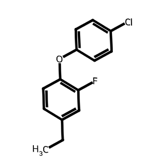 CCc1ccc(Oc2ccc(Cl)cc2)c(F)c1